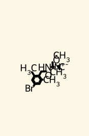 [C-]#[N+]C(C)(COC)NC(=O)Cc1c(C)cc(Br)cc1CC